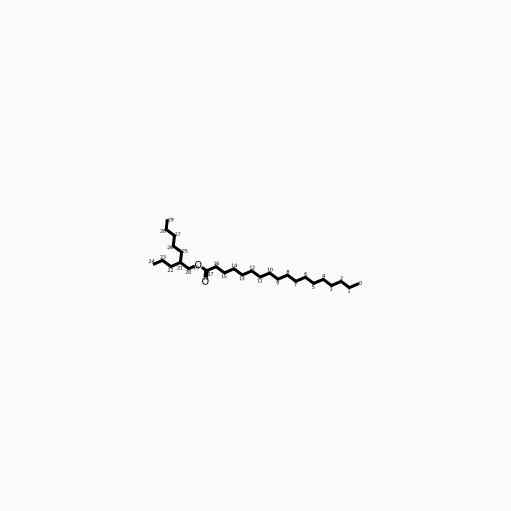 CCCCCCCCCCCCCCCCCC(=O)OCC(CCC)CCCCC